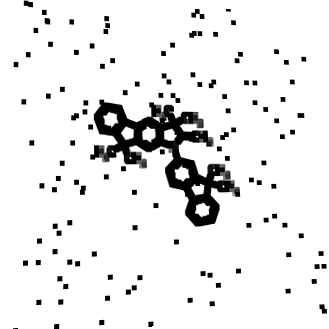 C=C1N(c2ccc3c(c2)C(C)(C)c2ccccc2-3)c2cc3c(cc2C1(C)C)-c1ccccc1C3(C)C